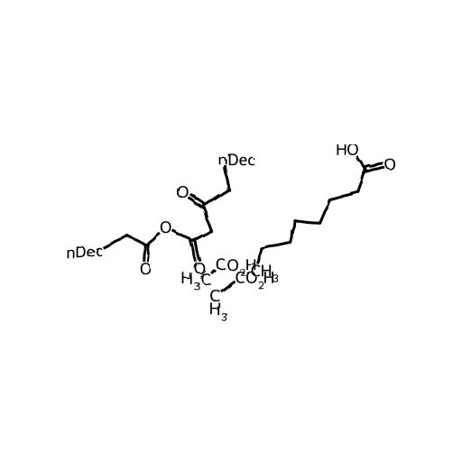 CC(=O)O.CC(=O)O.CCCCCCCC(=O)O.CCCCCCCCCCCC(=O)CC(=O)OC(=O)CCCCCCCCCCC